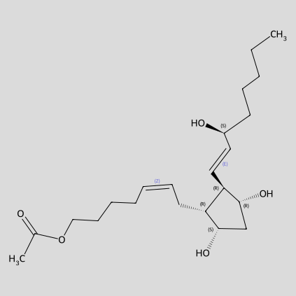 CCCCC[C@H](O)/C=C/[C@@H]1[C@@H](C/C=C\CCCCOC(C)=O)[C@@H](O)C[C@H]1O